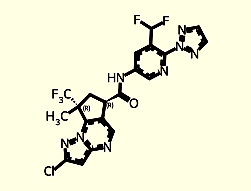 C[C@@]1(C(F)(F)F)C[C@@H](C(=O)Nc2cnc(-n3nccn3)c(C(F)F)c2)c2cnc3cc(Cl)nn3c21